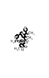 CCC(=C1CCOCC1)c1c(C)c(C(=O)NCc2c(OC)cc(C)[nH]c2=O)cc2c(-c3ccnc(N(C)C)c3)ccn12